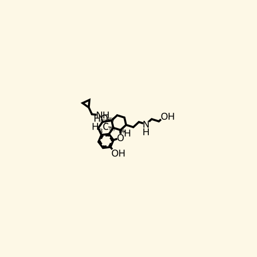 C[C@@]12c3c4ccc(O)c3O[C@@H]1C(CCNCCO)CC[C@]2(O)[C@@H](NCC1CC1)C4